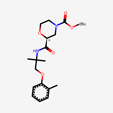 Cc1ccccc1OCC(C)(C)NC(=O)[C@@H]1CN(C(=O)OC(C)(C)C)CCO1